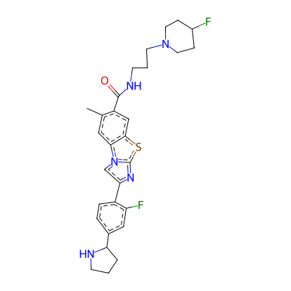 Cc1cc2c(cc1C(=O)NCCCN1CCC(F)CC1)sc1nc(-c3ccc(C4CCCN4)cc3F)cn12